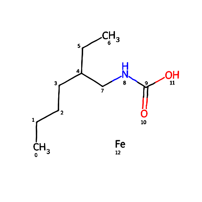 CCCCC(CC)CNC(=O)O.[Fe]